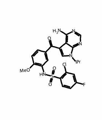 COc1ccc(C(=O)c2cn(C(C)C)c3ncnc(N)c23)cc1NS(=O)(=O)c1ccc(F)cc1Cl